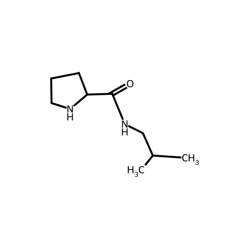 CC(C)CNC(=O)C1CCCN1